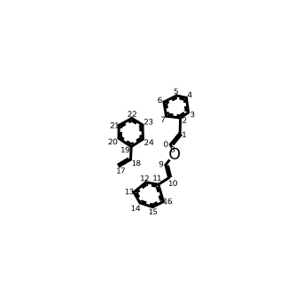 C(=Cc1ccccc1)OC=Cc1ccccc1.C=Cc1ccccc1